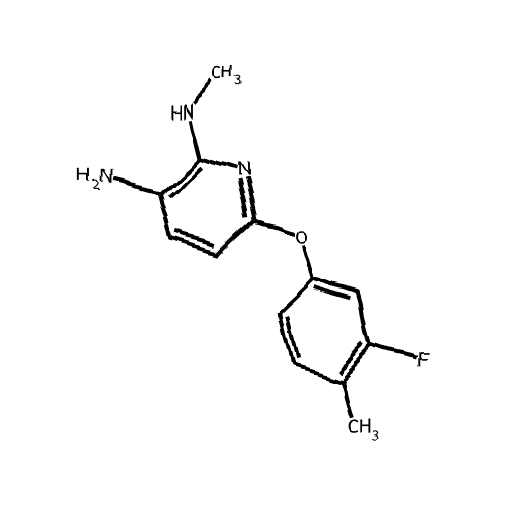 CNc1nc(Oc2ccc(C)c(F)c2)ccc1N